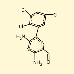 Nc1nc(N)c(-c2cc(Cl)cc(Cl)c2Cl)nc1C=O